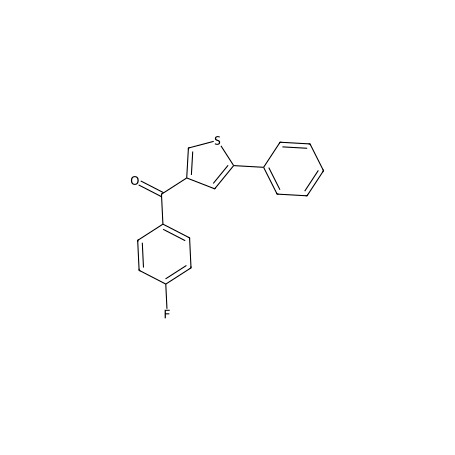 O=C(c1ccc(F)cc1)c1csc(-c2ccccc2)c1